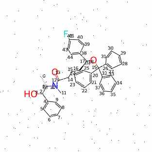 C[C@@H](C(O)c1ccccc1)N(C)C(=O)CCC[C@H](OC(c1ccccc1)(c1ccccc1)c1ccccc1)c1ccc(F)cc1